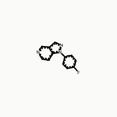 Fc1ccc(-n2ncc3cnccc32)cc1